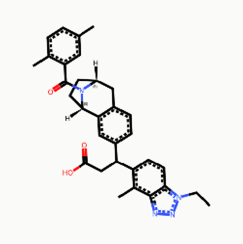 CCn1nnc2c(C)c(C(CC(=O)O)c3ccc4c(c3)[C@@H]3CC[C@H](C4)N3C(=O)c3cc(C)ccc3C)ccc21